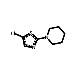 Clc1cnc(N2CCCCC2)s1